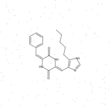 CCCCCc1[nH]cnc1C=c1[nH]c(=O)c(=Cc2ccccc2)[nH]c1=O